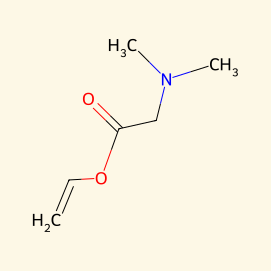 C=COC(=O)CN(C)C